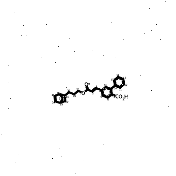 O=C(/C=C/c1ccc(C(=O)O)c(-c2ccccc2)c1)OCCCC1CC2C=CC1C2